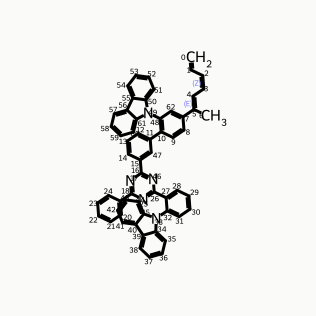 C=C/C=C\C=C(/C)c1ccc(-c2cccc(-c3nc(-c4ccccc4)nc(-c4ccccc4-n4c5ccccc5c5ccccc54)n3)c2)c(-n2c3ccccc3c3ccccc32)c1